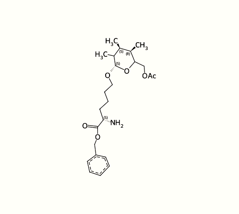 CC(=O)OCC1O[C@H](OCCCC[C@H](N)C(=O)OCc2ccccc2)C(C)[C@@H](C)[C@H]1C